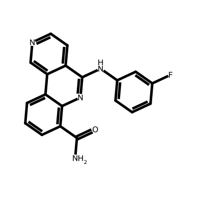 NC(=O)c1cccc2c1nc(Nc1cccc(F)c1)c1ccncc12